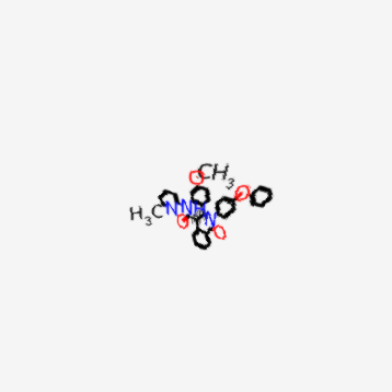 COc1ccc([C@H]2[C@H](C(=O)Nc3cccc(C)n3)c3ccccc3C(=O)N2c2ccc(Oc3ccccc3)cc2)cc1